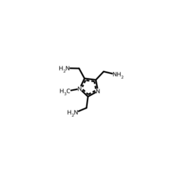 Cn1c(CN)nc(CN)c1CN